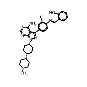 CN1CCN([C@H]2CC[C@H](n3nc(-c4ccc(N=Cc5ccccc5O)c(Cl)c4)c4c(N)ncnc43)CC2)CC1